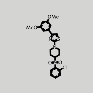 COc1cc(OC)cc(-c2csc(N3CCC(S(=O)(=O)c4ccccc4Cl)CC3)n2)c1